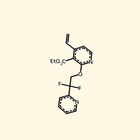 C=Cc1ccnc(OCC(F)(F)c2ccccn2)c1C(=O)OCC